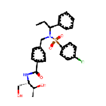 CCC(c1ccccc1)N(Cc1ccc(C(=O)N[C@@H](CO)[C@H](C)O)cc1)S(=O)(=O)c1ccc(Cl)cc1